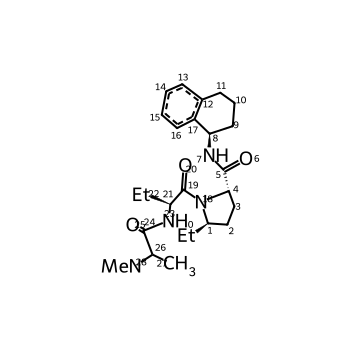 CC[C@@H]1CC[C@@H](C(=O)N[C@@H]2CCCc3ccccc32)N1C(=O)[C@H](CC)NC(=O)C(C)NC